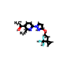 CC(=O)c1ccc(-n2ccc(OCCC3(C(F)(F)F)CC3)n2)nc1C